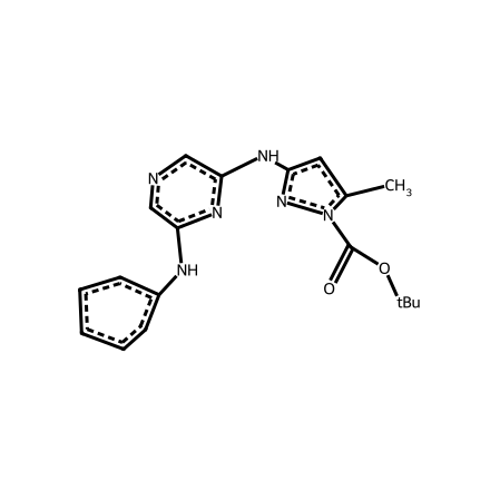 Cc1cc(Nc2cncc(Nc3ccccc3)n2)nn1C(=O)OC(C)(C)C